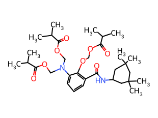 CC(C)C(=O)OCOc1c(C(=O)NC2CC(C)(C)CC(C)(C)C2)cccc1N(COC(=O)C(C)C)COC(=O)C(C)C